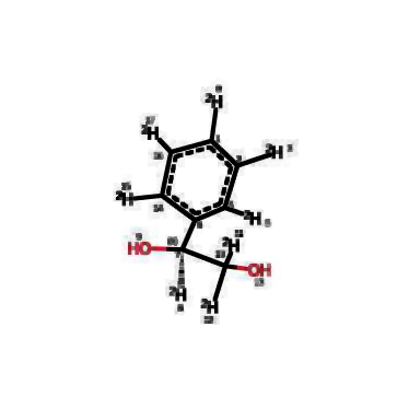 [2H]c1c([2H])c([2H])c([C@]([2H])(O)C([2H])([2H])O)c([2H])c1[2H]